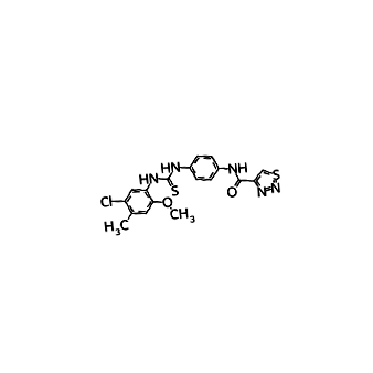 COc1cc(C)c(Cl)cc1NC(=S)Nc1ccc(NC(=O)c2csnn2)cc1